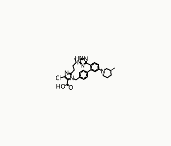 CCCCc1nc(Cl)c(C(=O)O)n1Cc1ccc(-c2cc(N3CCC[C@H](C)C3)ccc2-c2nn[nH]n2)cc1